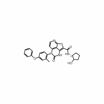 Cc1cc(Oc2ccccc2)ccc1N1C(=O)Nc2c(C(=O)N[C@@H]3CCCC3O)sc3nccc1c23